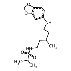 CC(CCNc1ccc2c(c1)OCO2)CCNS(=O)(=O)C(C)C